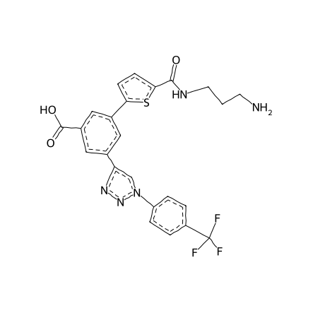 NCCCNC(=O)c1ccc(-c2cc(C(=O)O)cc(-c3cn(-c4ccc(C(F)(F)F)cc4)nn3)c2)s1